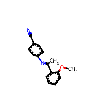 COc1ccccc1C(C)=Nc1ccc(C#N)cc1